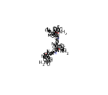 C=CC(=O)N1CCN(c2c(C#N)c(=O)n(-c3c(C)cc(/C=C\C(=O)N4CCN(c5c(C#N)c(=O)n(-c6c(C)cc(/C=C\C(=O)N7CCN(c8c(C#N)c(=O)n(-c9c(C)ccnc9C(C)C)c9nc(-c%10c(Cl)c(N)c(Cl)c(F)c%10Cl)c(Cl)cc89)CC7)nc6C(C)C)c6nc(-c7c(Cl)c(N)c(Cl)c(F)c7Cl)c(Cl)cc56)CC4)nc3C(C)C)c3nc(-c4c(Cl)c(N)c(Cl)c(F)c4Cl)c(Cl)cc23)CC1